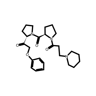 O=C(COc1ccccc1)[C@@H]1CCCN1C(=O)[C@H]1CCCN1C(=O)CCN1CCCCC1